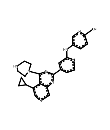 N#Cc1ccc(Nc2cc(-c3nc(N4CCNCC4)c4c(C5CC5)cncc4n3)ccn2)cn1